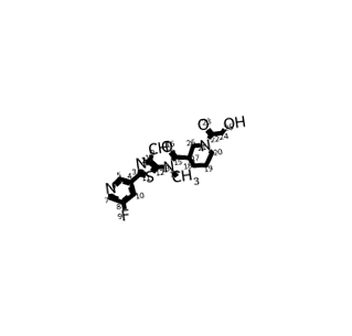 Cc1nc(-c2cncc(F)c2)sc1N(C)C(=O)C1CCCN(C(=O)CO)C1